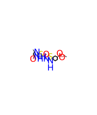 CCOC(=O)c1ccc2c(c1)SC(NC(=O)CSc1nc(C)cc(=O)[nH]1)N2